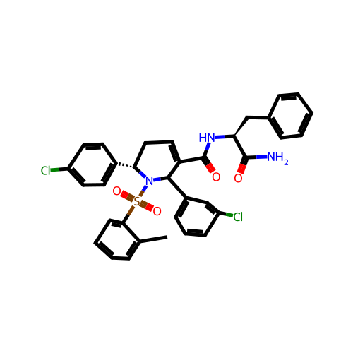 Cc1ccccc1S(=O)(=O)N1C(c2cccc(Cl)c2)C(C(=O)N[C@@H](Cc2ccccc2)C(N)=O)=CC[C@H]1c1ccc(Cl)cc1